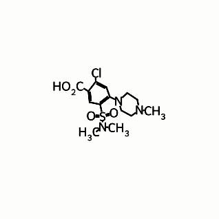 CN1CCN(c2cc(Cl)c(C(=O)O)cc2S(=O)(=O)N(C)C)CC1